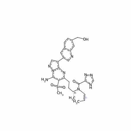 C/C=C\N(C(=O)c1nnc[nH]1)[C@H](C)CCc1nc2c(-c3cnc4cc(CO)ccc4c3)cnn2c(N)c1S(C)(=O)=O